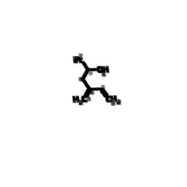 C=CC(=C)CC(O)C(C)C